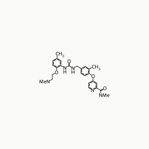 CNCCOc1ccc(C)cc1NC(=O)NCc1ccc(Oc2ccnc(C(=O)NC)c2)c(C)c1